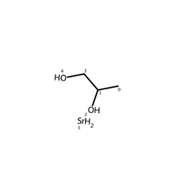 CC(O)CO.[SrH2]